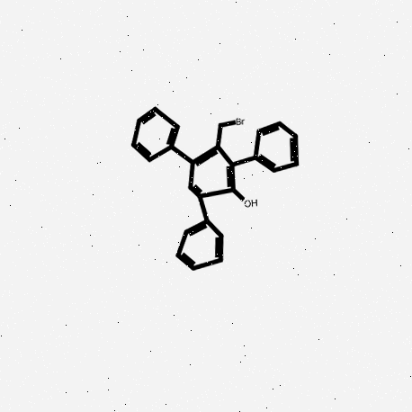 Oc1c(-c2ccccc2)cc(-c2ccccc2)c(CBr)c1-c1ccccc1